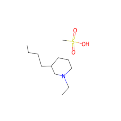 CCCCC1CCCN(CC)C1.CS(=O)(=O)O